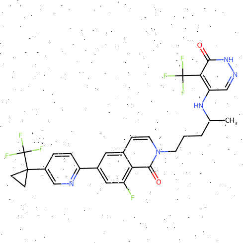 CC(CCCn1ccc2cc(-c3ccc(C4(C(F)(F)F)CC4)cn3)cc(F)c2c1=O)Nc1cn[nH]c(=O)c1C(F)(F)F